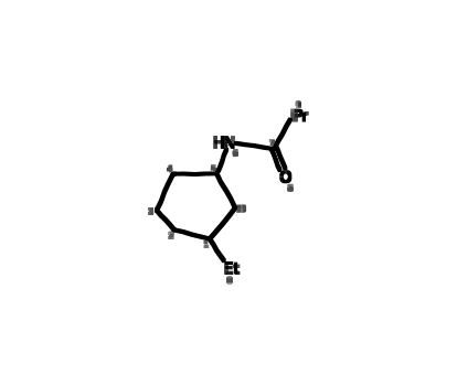 CCC1CCCC(NC(=O)C(C)C)C1